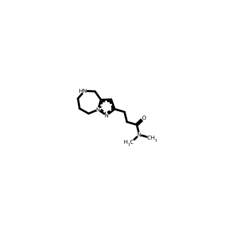 CN(C)C(=O)CCc1cc2n(n1)CCCNC2